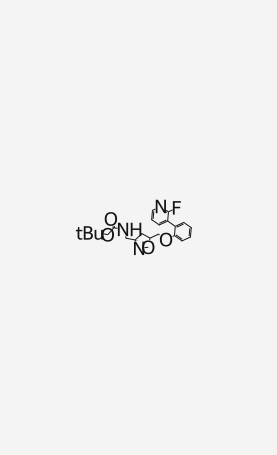 CC(C)(C)OC(=O)NCC1=NOC(COc2ccccc2-c2cccnc2F)C1